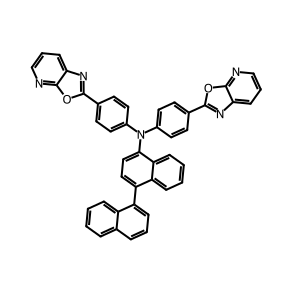 c1ccc2c(-c3ccc(N(c4ccc(-c5nc6cccnc6o5)cc4)c4ccc(-c5nc6cccnc6o5)cc4)c4ccccc34)cccc2c1